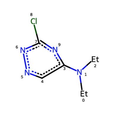 CCN(CC)c1cnnc(Cl)n1